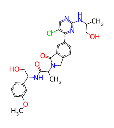 COc1cccc(C(CO)NC(=O)C(C)N2Cc3ccc(-c4nc(NC(C)CO)ncc4Cl)cc3C2=O)c1